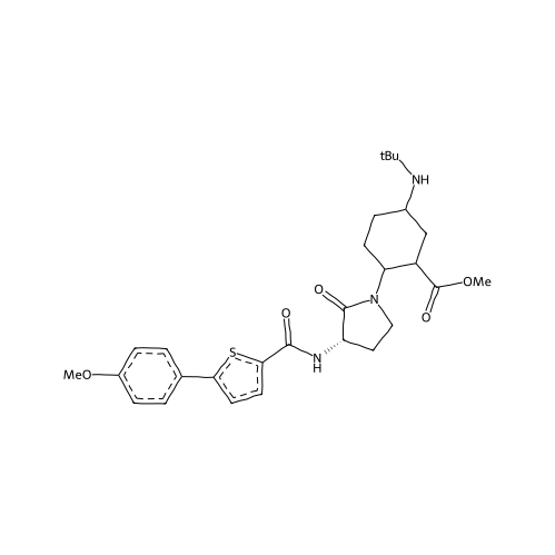 COC(=O)C1CC(NC(C)(C)C)CCC1N1CC[C@H](NC(=O)c2ccc(-c3ccc(OC)cc3)s2)C1=O